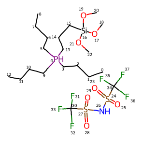 CCCC[PH](CCCC)(CCCC)CCC[Si](OC)(OC)OC.O=S(=O)(NS(=O)(=O)C(F)(F)F)C(F)(F)F